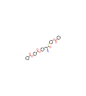 N#C/C(=C\c1ccc(OC(=O)c2ccc(OC(=O)c3ccccc3)cc2)cc1)C(=O)Sc1ccc(OC(=O)c2ccccc2)cc1